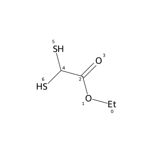 CCOC(=O)C(S)S